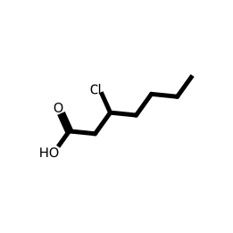 CCCCC(Cl)CC(=O)O